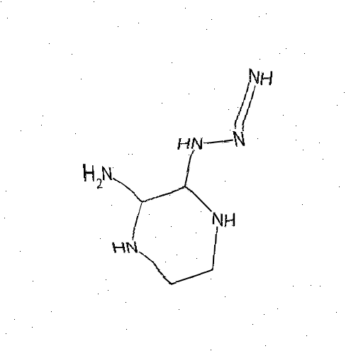 N=NNC1NCCNC1N